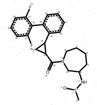 C[S+]([O-])NC1CCCCN(C(=O)C2CC2c2ccccc2-c2c(F)cccc2F)C1